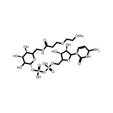 COCCOCCC(=O)NCC1O[C@H](OP(=O)(O)OP(=O)(O)OCC2OC(N3C=CC(N)NC3=O)[C@H](O)[C@@H]2O)C(O)[C@@H](O)[C@H]1O